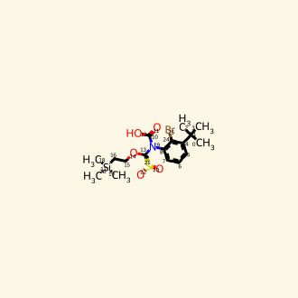 CC(C)(C)c1cccc(N(C(=O)O)C(OCC[Si](C)(C)C)=S(=O)=O)c1Br